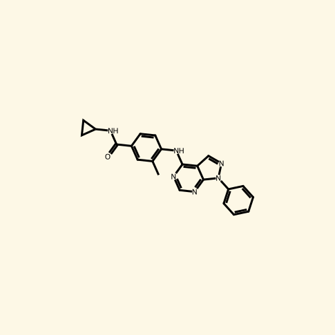 Cc1cc(C(=O)NC2CC2)ccc1Nc1ncnc2c1cnn2-c1ccccc1